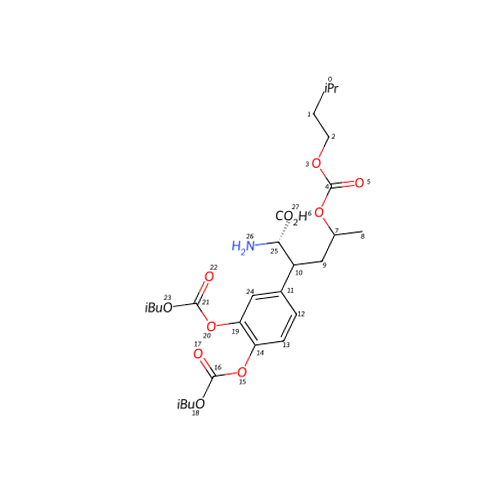 CC(C)CCOC(=O)OC(C)CC(c1ccc(OC(=O)OCC(C)C)c(OC(=O)OCC(C)C)c1)[C@H](N)C(=O)O